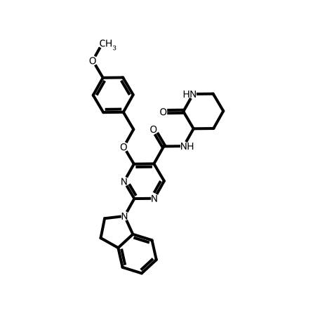 COc1ccc(COc2nc(N3CCc4ccccc43)ncc2C(=O)NC2CCCNC2=O)cc1